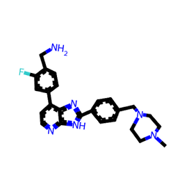 CN1CCN(Cc2ccc(-c3nc4c(-c5ccc(CN)c(F)c5)ccnc4[nH]3)cc2)CC1